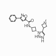 CN1CC(C2=CNNN2[C@H]2C[C@H](NC(=O)c3cc(-c4ccccc4)no3)C2)C1